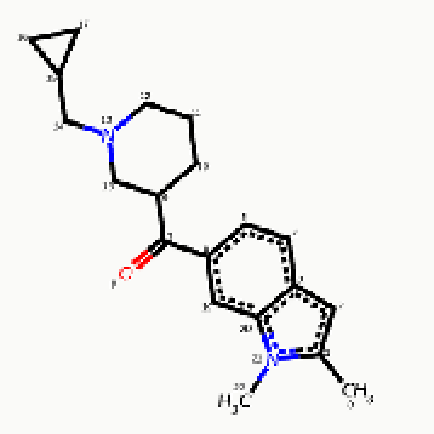 Cc1cc2ccc(C(=O)C3CCCN(CC4CC4)C3)cc2n1C